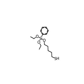 CCO[Si](OCC)(OCCCCCS)c1ccccc1